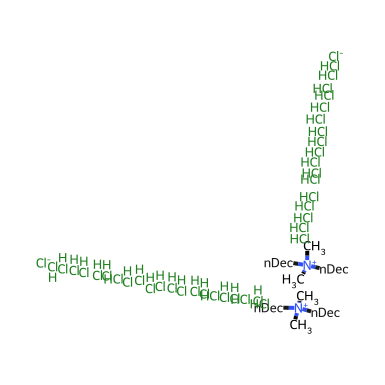 CCCCCCCCCC[N+](C)(C)CCCCCCCCCC.CCCCCCCCCC[N+](C)(C)CCCCCCCCCC.Cl.Cl.Cl.Cl.Cl.Cl.Cl.Cl.Cl.Cl.Cl.Cl.Cl.Cl.Cl.Cl.Cl.Cl.Cl.Cl.Cl.Cl.Cl.Cl.Cl.Cl.Cl.Cl.Cl.Cl.Cl.Cl.Cl.Cl.Cl.Cl.Cl.Cl.[Cl-].[Cl-]